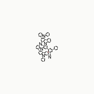 N#Cc1cc(-c2ccccc2)cc(-c2cc(-n3c4ccccc4c4c3ccc3c5ccccc5n(-c5ccccc5)c34)c(C#N)c(-n3c4ccccc4c4ccc5c(c6ccccc6n5-c5ccccc5)c43)c2)c1